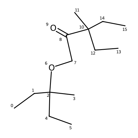 CCC(C)(CC)OCC(=O)C(C)(CC)CC